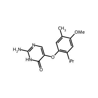 COc1cc(C(C)C)c(Oc2cnc(N)[nH]c2=O)cc1C